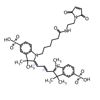 C[N+]1=C(/C=C/C=C2\N(CCCCCC(=O)NCCN3C(=O)C=CC3=O)c3ccc(S(=O)(=O)O)cc3C2(C)C)C(C)(C)c2cc(S(=O)(=O)O)ccc21